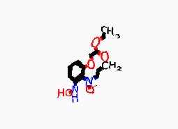 C=C/C=[N+](/[O-])c1c(NO)cccc1OCC(=O)OCC